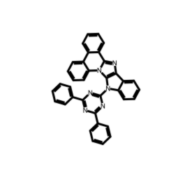 c1ccc(-c2nc(-c3ccccc3)nc(-n3c4ccccc4c4nc5c6ccccc6c6ccccc6n5c43)n2)cc1